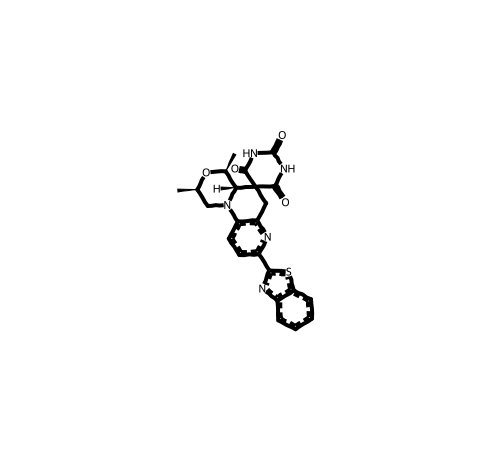 C[C@@H]1CN2c3ccc(-c4nc5ccccc5s4)nc3CC3(C(=O)NC(=O)NC3=O)[C@H]2[C@H](C)O1